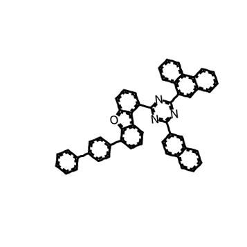 c1ccc(-c2ccc(-c3cccc4c3oc3cccc(-c5nc(-c6ccc7ccccc7c6)nc(-c6cc7ccccc7c7ccccc67)n5)c34)cc2)cc1